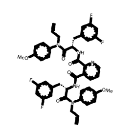 C=CCN(C(=O)[C@H](Cc1cc(F)cc(F)c1)NC(=O)c1cccnc1C(=O)N[C@@H](Cc1cc(F)cc(F)c1)C(=O)N(CC=C)c1ccc(OC)cc1)c1ccc(OC)cc1